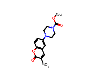 CC(C)(C)OC(=O)N1CCN(c2ccc3oc(=O)c([N+](=O)[O-])cc3c2)CC1